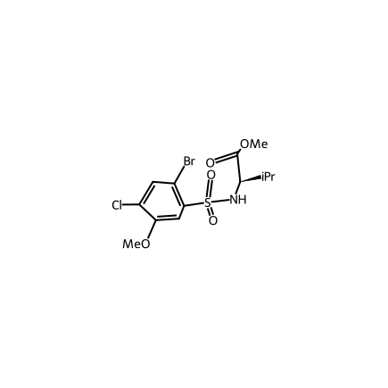 COC(=O)[C@H](NS(=O)(=O)c1cc(OC)c(Cl)cc1Br)C(C)C